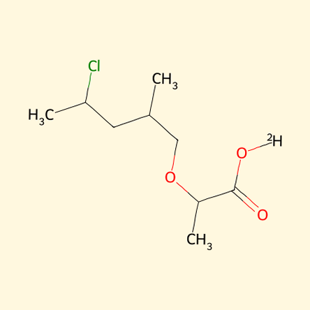 [2H]OC(=O)C(C)OCC(C)CC(C)Cl